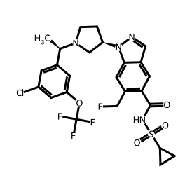 C[C@H](c1cc(Cl)cc(OC(F)(F)F)c1)N1CC[C@@H](n2ncc3cc(C(=O)NS(=O)(=O)C4CC4)c(CF)cc32)C1